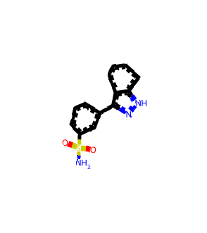 NS(=O)(=O)c1cccc(-c2n[nH]c3ccccc23)c1